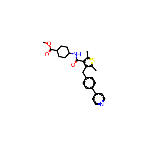 COC(=O)C1CCC(NC(=O)c2c(C)sc(C)c2Cc2ccc(-c3ccncc3)cc2)CC1